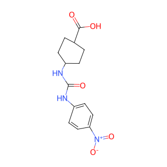 O=C(Nc1ccc([N+](=O)[O-])cc1)NC1CCC(C(=O)O)CC1